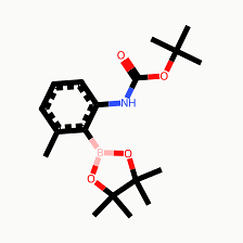 Cc1cccc(NC(=O)OC(C)(C)C)c1B1OC(C)(C)C(C)(C)O1